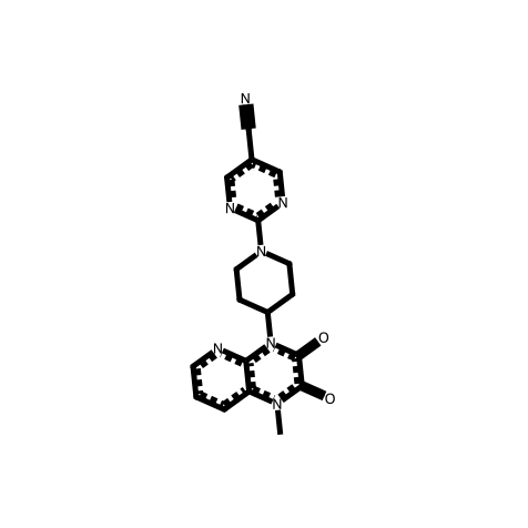 Cn1c(=O)c(=O)n(C2CCN(c3ncc(C#N)cn3)CC2)c2ncccc21